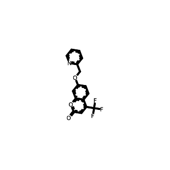 O=c1cc(C(F)(F)F)c2ccc(OCc3ccccn3)cc2o1